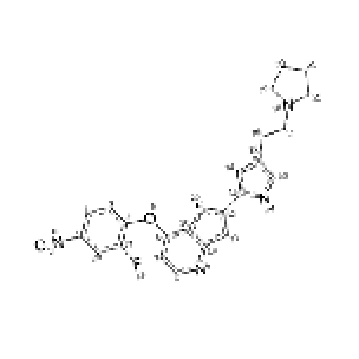 O=[N+]([O-])c1ccc(Oc2ccnc3cc(-c4cn(CCN5CCCC5)cn4)sc23)c(F)c1